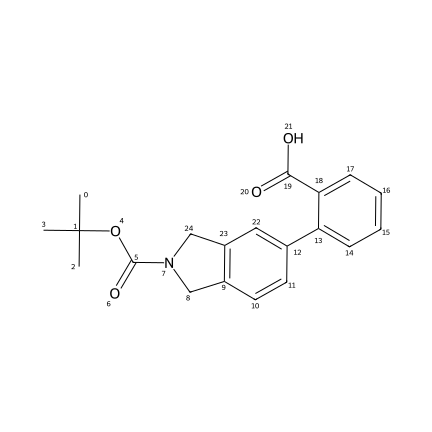 CC(C)(C)OC(=O)N1Cc2ccc(-c3ccccc3C(=O)O)cc2C1